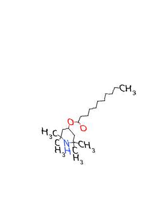 CCCCCCCCCCC(=O)OC1CC(C)(C)NC(C)(C)C1